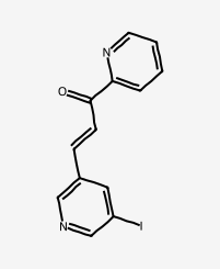 O=C(C=Cc1cncc(I)c1)c1ccccn1